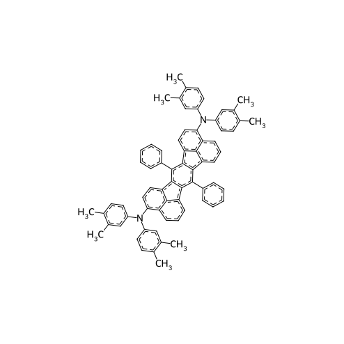 Cc1ccc(N(c2ccc(C)c(C)c2)c2ccc3c4c(-c5ccccc5)c5c6ccc(N(c7ccc(C)c(C)c7)c7ccc(C)c(C)c7)c7cccc(c5c(-c5ccccc5)c4c4cccc2c43)c76)cc1C